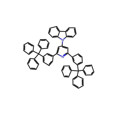 c1ccc(C(c2ccccc2)(c2ccccc2)c2cccc(-c3cc(-n4c5ccccc5c5ccccc54)cc(-c4cccc(C(c5ccccc5)(c5ccccc5)c5ccccc5)c4)n3)c2)cc1